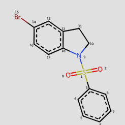 O=S(=O)(c1ccccc1)N1CCc2cc(Br)ccc21